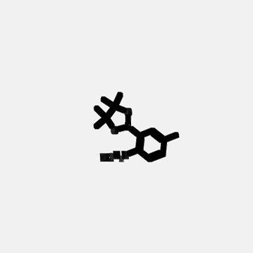 Cc1ccc(N)c(B2OC(C)(C)C(C)(C)O2)c1.Cl